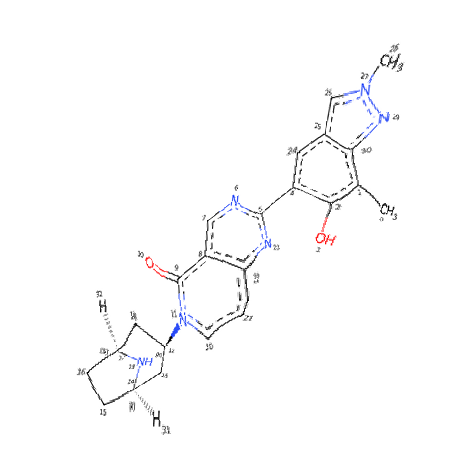 Cc1c(O)c(-c2ncc3c(=O)n([C@H]4C[C@H]5CC[C@@H](C4)N5)ccc3n2)cc2cn(C)nc12